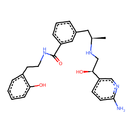 C[C@H](Cc1cccc(C(=O)NCCc2ccccc2O)c1)NC[C@H](O)c1ccc(N)nc1